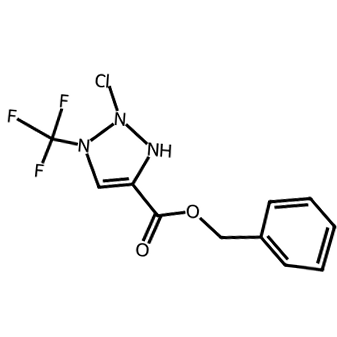 O=C(OCc1ccccc1)C1=CN(C(F)(F)F)N(Cl)N1